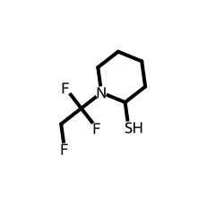 FCC(F)(F)N1CCCCC1S